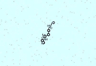 CCn1nc(-c2cccc(-c3ccc(CC(=O)NCCN4CCCC4)cc3)c2)cc(Nc2cccc3ncccc23)c1=O